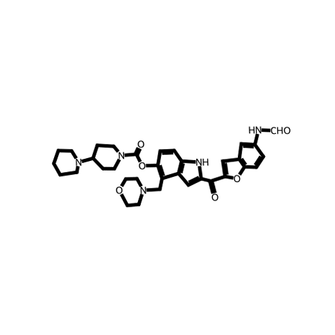 O=CNc1ccc2oc(C(=O)c3cc4c(CN5CCOCC5)c(OC(=O)N5CCC(N6CCCCC6)CC5)ccc4[nH]3)cc2c1